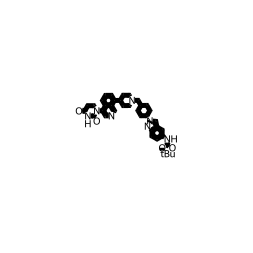 CC(C)(C)OC(=O)Nc1ccc2nn(C3CCC(CN4CCC(c5cccc6c(N7CCC(=O)NC7=O)cncc56)CC4)CC3)cc2c1